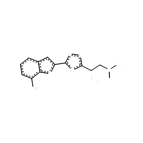 CCCCC[C@@H](CN(O)C=O)c1nnc(-c2cc3cccc(OC)c3o2)o1